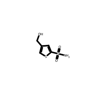 NS(=O)(=O)c1cc(CO)cs1